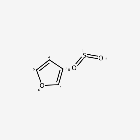 O=S=O.c1ccoc1